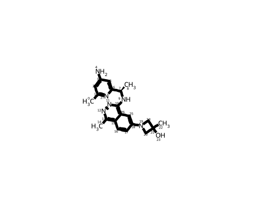 Cc1cc(N)cc([C@@H](C)Nc2nnc(C)c3ccc(N4CC(C)(O)C4)cc23)n1